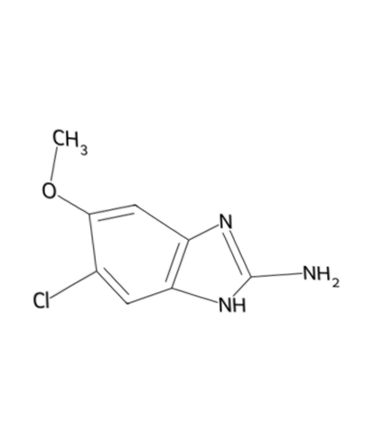 COc1cc2nc(N)[nH]c2cc1Cl